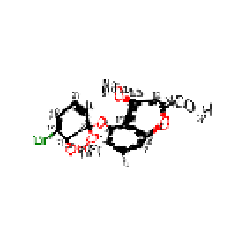 CCCOC1(Oc2cccc3oc(C(=O)O)cc(=O)c23)C=CC=C(Br)C1O.[Na]